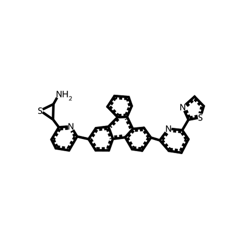 NC1SC1c1cccc(-c2ccc3c4ccc(-c5cccc(-c6nccs6)n5)cc4c4ccccc4c3c2)n1